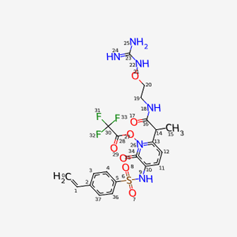 C=Cc1ccc(S(=O)(=O)Nc2ccc(C(C)C(=O)NCCONC(=N)N)n(OC(=O)C(F)(F)F)c2=O)cc1